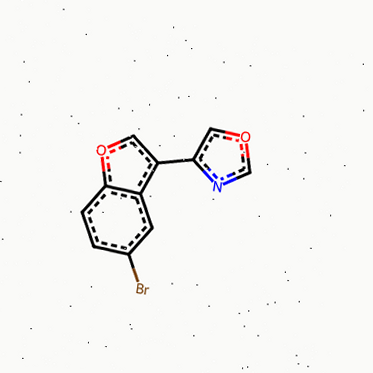 Brc1ccc2occ(-c3cocn3)c2c1